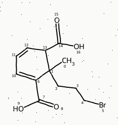 CC1(CCCBr)C(C(=O)O)=CC=CC1C(=O)O